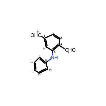 O=Cc1ccc(C=O)c(Nc2ccccc2)c1